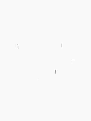 C=C(OCC)c1cnc(C)cc1C(F)(F)F